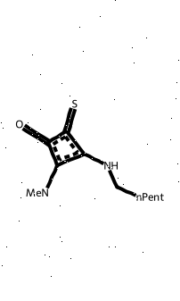 CCCCCCNc1c(NC)c(=O)c1=S